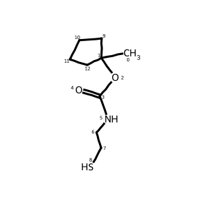 CC1(OC(=O)NCCS)CCCC1